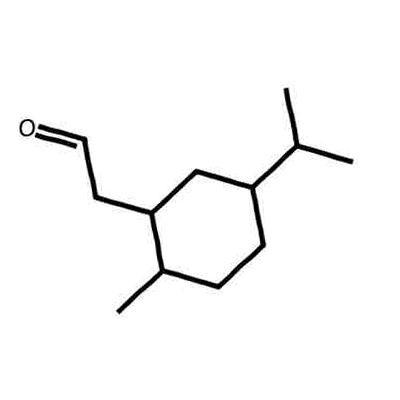 CC(C)C1CCC(C)C(CC=O)C1